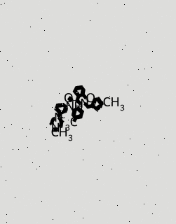 Cc1ccc(CN2C(=O)c3ccccc3[C@@H](C(=O)Nc3cccc(N4CCN(C)CC4)c3)[C@H]2c2ccc(C(F)(F)F)cc2)cc1